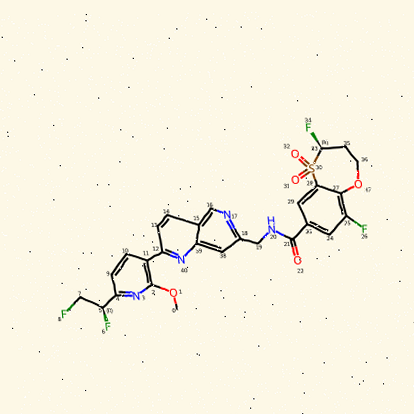 COc1nc([C@@H](F)CF)ccc1-c1ccc2cnc(CNC(=O)c3cc(F)c4c(c3)S(=O)(=O)[C@@H](F)CCO4)cc2n1